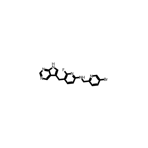 Fc1nc(NCc2ccc(Br)cn2)ccc1Cc1c[nH]c2ncncc12